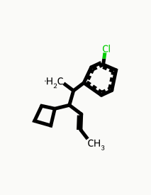 [CH2]C(c1cccc(Cl)c1)C(C=CC)C1CCC1